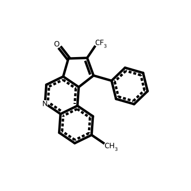 Cc1ccc2ncc3c(c2c1)C(c1ccccc1)=C(C(F)(F)F)C3=O